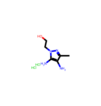 Cc1nn(CCO)c(N)c1N.Cl.Cl